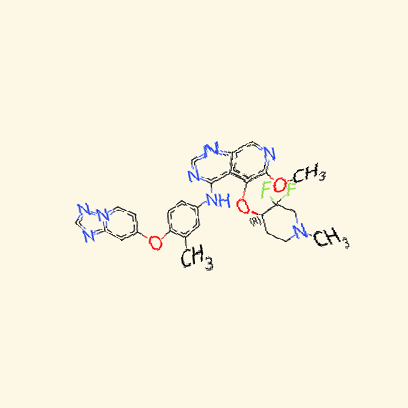 COc1ncc2ncnc(Nc3ccc(Oc4ccn5ncnc5c4)c(C)c3)c2c1O[C@@H]1CCN(C)CC1(F)F